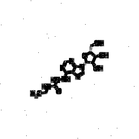 CCNC(=O)NNc1ncnc2c1ncn2[C@@H]1O[C@H](CO)[C@@H](O)[C@H]1O